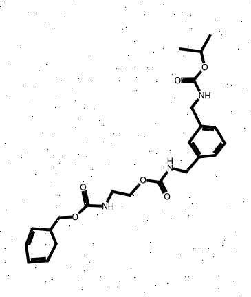 CC(C)OC(=O)NCc1cccc(CNC(=O)OCCNC(=O)OCC2C=CC=CC2)c1